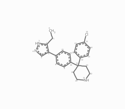 CCc1[nH]ncc1-c1ccc(C2(c3ccc(Cl)cc3)CCNCC2)cc1